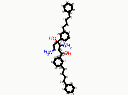 NCCC(O)(c1cccc(CCCCc2ccccc2)c1)C(N)CC(O)c1cccc(CCCCc2ccccc2)c1